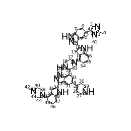 Cc1ncc(-c2ccc3[nH]nc(-c4cc5c(N6CCN(C)C(c7cc(C8=CCNCC8)cc8c(-c9cc%10c(N%11CCN(C)CC%11)cccc%10[nH]9)n[nH]c78)C6)cccc5[nH]4)c3c2)n1C